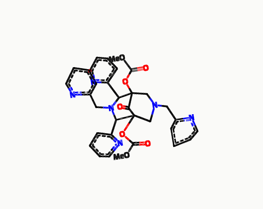 COC(=O)OC12CN(Cc3ccccn3)CC(OC(=O)OC)(C1=O)C(c1ccccn1)N(Cc1ccccn1)C2c1ccccn1